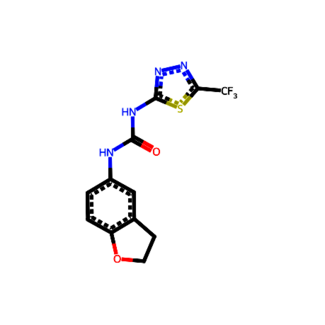 O=C(Nc1ccc2c(c1)CCO2)Nc1nnc(C(F)(F)F)s1